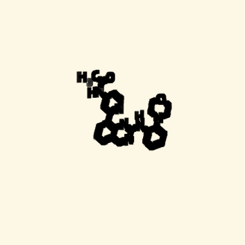 CC(=O)Nc1ccnc(-c2cccc3cnc(Nc4ccccc4N4CCOCC4)nc23)c1